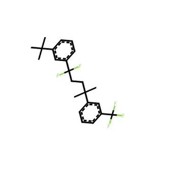 CC(C)(C)c1cccc(C(F)(F)CCC(C)(C)c2cccc(C(F)(F)F)c2)c1